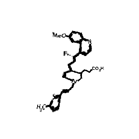 COc1ccc2nccc([C@@H](F)CCC3CCN(CC#Cc4ccc(C)s4)CC3CCC(=O)O)c2c1